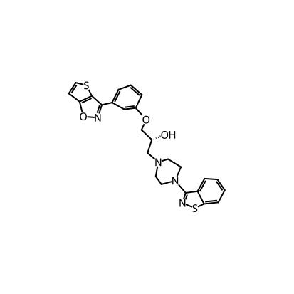 O[C@@H](COc1cccc(-c2noc3ccsc23)c1)CN1CCN(c2nsc3ccccc23)CC1